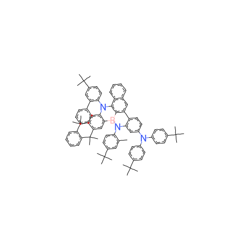 Cc1cc(C(C)(C)C)ccc1N1B2c3cc4c(cc3N(c3ccc(C(C)(C)C)cc3-c3ccccc3)c3c2c(cc2ccccc32)-c2ccc(N(c3ccc(C(C)(C)C)cc3)c3ccc(C(C)(C)C)cc3)cc21)C(C)(C)c1ccccc1C4(C)C